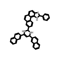 C1=C(c2ccc3ccccc3c2)NC(c2ccc3c(ccc4ccc5c(c43)NC(c3ccccc3)S5)c2)NC1c1ccc2ccccc2c1